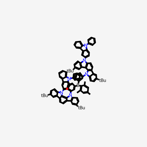 Cc1cc(C)c(B(c2cccc(-n3c4ccc(C(C)(C)C)cc4c4ccc5c(c6cc(C(C)(C)C)ccc6n5-c5ccc6c(c5)c5ccccc5n6-c5ccccc5)c43)c2)c2cccc(-n3c4ccc(C(C)(C)C)cc4c4ccc5c6cc(C(C)(C)C)ccc6n(-c6ccc7c(c6)c6ccccc6n7-c6ccccc6)c5c43)c2)c(C)c1